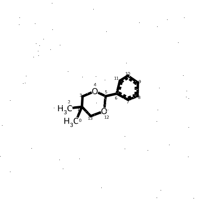 CC1(C)COC(c2[c]cccc2)OC1